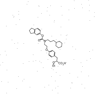 CCOC(Cc1ccc(OCCN(CCCC2CCCCC2)C(=O)Oc2ccc3c(c2)CCC3)cc1)C(=O)O